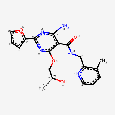 Cc1cccnc1CNC(=O)c1c(N)nc(-c2ccco2)nc1OC[C@@H](C)O